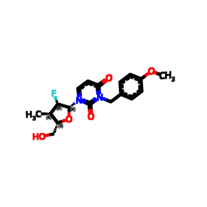 COc1ccc(Cn2c(=O)ccn([C@@H]3O[C@H](CO)[C@@H](C)[C@H]3F)c2=O)cc1